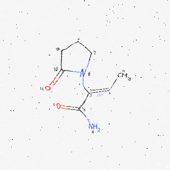 C/C=C(/C(N)=O)N1CCCC1=O